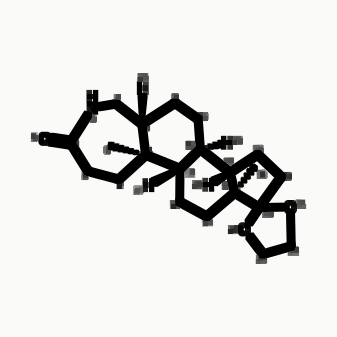 C[C@]12CCC(=O)NC[C@@H]1CC[C@@H]1[C@@H]2CC[C@@]2(C)[C@H]1CCC21OCCO1